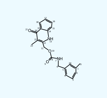 Cc1cccc(CNC(=O)OCc2[nH]c3ccccc3c(=O)c2C)c1